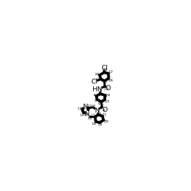 O=C(Nc1ccc(C(=O)N2Cc3nccn3Cc3ccccc32)cc1)c1ccc(Cl)cc1Cl